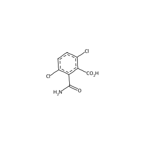 NC(=O)c1c(Cl)ccc(Cl)c1C(=O)O